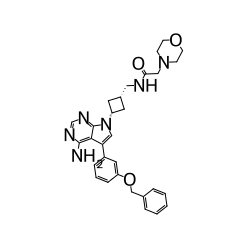 Nc1ncnc2c1c(-c1cccc(OCc3ccccc3)c1)cn2[C@H]1C[C@@H](CNC(=O)CN2CCOCC2)C1